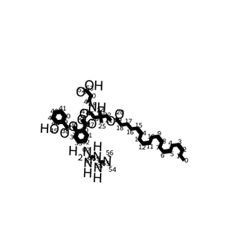 CC/C=C\C/C=C\C/C=C\C/C=C\C/C=C\CCCC(=O)OCC(C)(C)C(OC(=O)c1ccccc1OC(=O)c1ccccc1O)C(=O)NCCC(=O)O.CN(C)C(=N)NC(=N)N